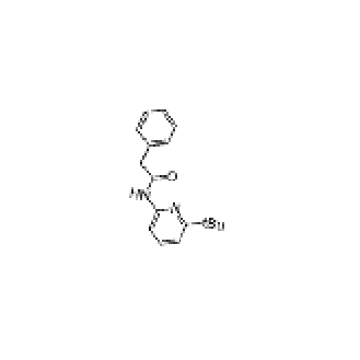 CC(C)(C)c1cccc(NC(=O)Cc2ccccc2)n1